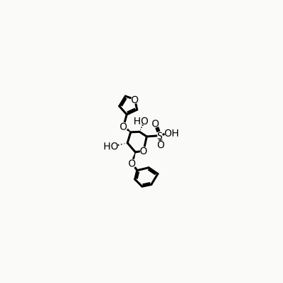 O=S(=O)(O)C1O[C@@H](Oc2ccccc2)[C@H](O)[C@@H](Oc2ccoc2)[C@@H]1O